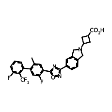 Cc1cc(-c2nc(-c3ccc4c(c3)CN(C3CC(C(=O)O)C3)C4)no2)c(F)cc1-c1cccc(F)c1C(F)(F)F